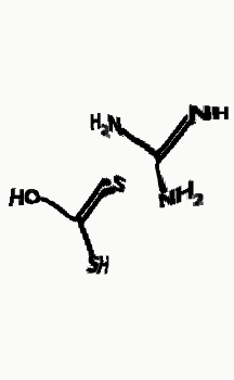 N=C(N)N.OC(=S)S